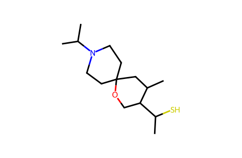 CC(S)C1COC2(CCN(C(C)C)CC2)CC1C